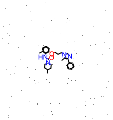 Cc1cccc(OCCCn2cnc(-c3ccccc3)c2C)c1NC(=O)N1CCC(C)CC1